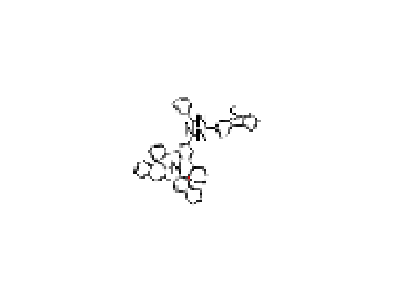 c1ccc(-c2nc(-c3cc(-c4ccccc4)c(-n4c5cc6ccccc6cc5c5cc6ccccc6cc54)c(-c4ccccc4)c3)nc(-c3ccc4c(c3)sc3ccccc34)n2)cc1